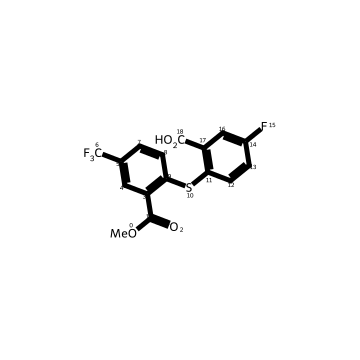 COC(=O)c1cc(C(F)(F)F)ccc1Sc1ccc(F)cc1C(=O)O